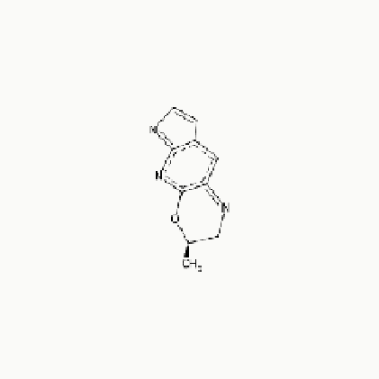 C[C@@H]1CN=c2cc3c(nc2O1)=NC=C3